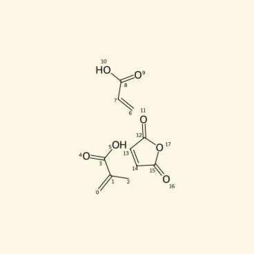 C=C(C)C(=O)O.C=CC(=O)O.O=C1C=CC(=O)O1